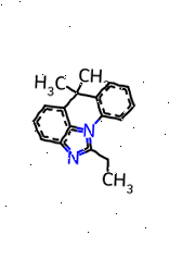 CCc1nc2cccc3c2n1-c1ccccc1C3(C)C